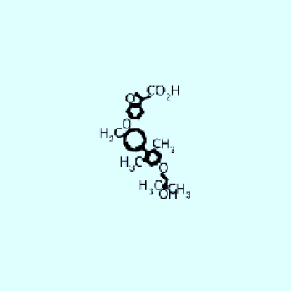 C=C1/C=C\C=C(\c2c(C)cc(OCCC(C)(C)O)cc2C)CCC[C@H]1Oc1ccc2c(c1)OC[C@H]2CC(=O)O